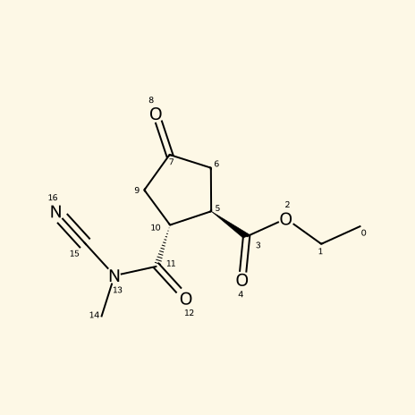 CCOC(=O)[C@@H]1CC(=O)C[C@H]1C(=O)N(C)C#N